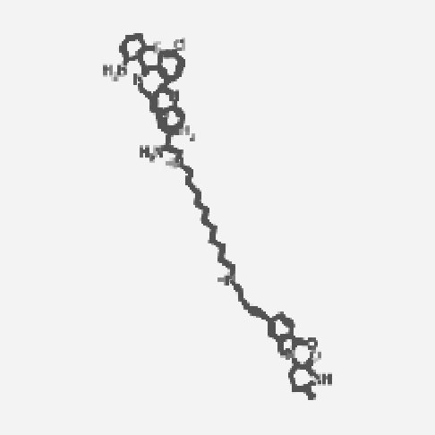 BC1=CCCC(F)=C1C1=NCC(=C/N=C/N)/C(=N\c2ccc(/C(N)=C/NCCCCCCCCCCCNCCC#Cc3ccc4c(c3)CN(C3CCC(=C)NC3=O)C4=O)cc2)c2ccc(Cl)cc21